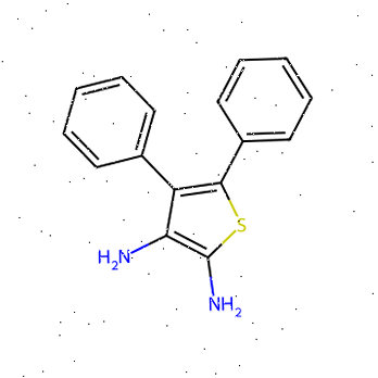 Nc1sc(-c2ccccc2)c(-c2ccccc2)c1N